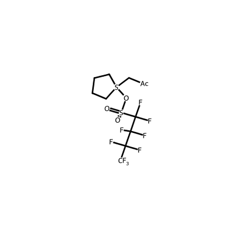 CC(=O)CS1(OS(=O)(=O)C(F)(F)C(F)(F)C(F)(F)C(F)(F)F)CCCC1